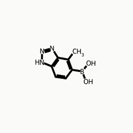 Cc1c(B(O)O)ccc2[nH]nnc12